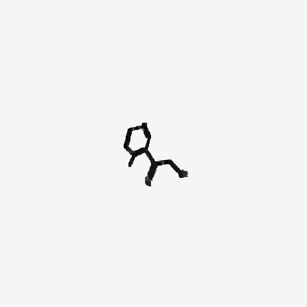 Cc1ccncc1C(=O)CBr